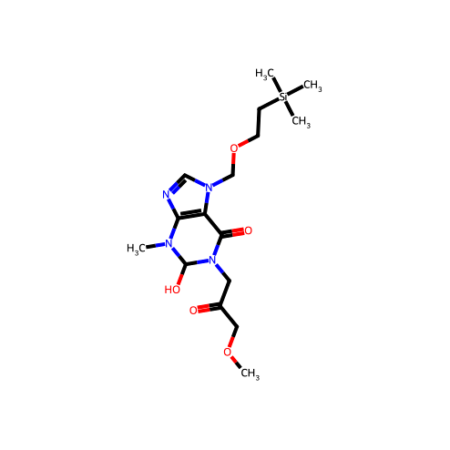 COCC(=O)CN1C(=O)c2c(ncn2COCC[Si](C)(C)C)N(C)C1O